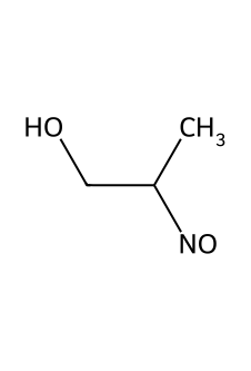 CC(CO)N=O